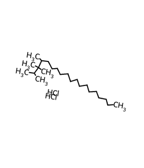 CCCCCCCCCCCCCCCC(C)C(C)(C)C(C)C.Cl.Cl